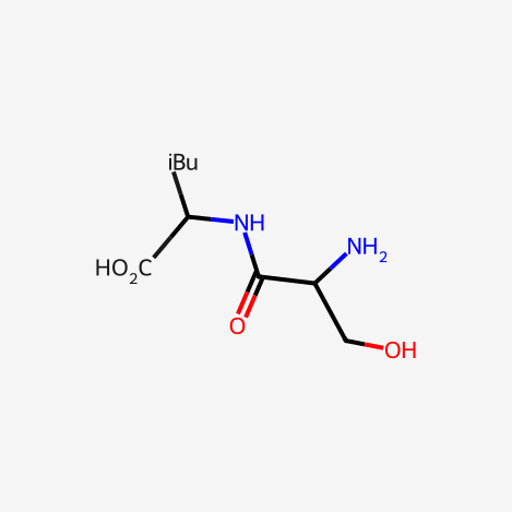 CCC(C)C(NC(=O)C(N)CO)C(=O)O